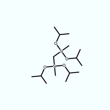 CC(C)O[Si](C)(C[Si](C)(OC(C)C)OC(C)C)OC(C)C